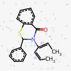 C/C=C\C(=C/C)N1C(=O)c2ccccc2SC1c1ccccc1